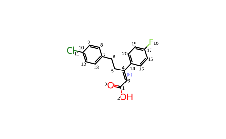 O=C(O)/C=C(\CCc1ccc(Cl)cc1)c1ccc(F)cc1